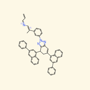 C=C/C=N\C=C(/C)c1cccc(-n2nc3c(n2)C(c2cc(-c4ccccc4)cc4ccccc24)CC(c2cc(-c4ccccc4)cc4ccccc24)=C3)c1